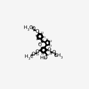 COCOc1ccc(C(=O)C2CCCC2c2cc(OCOC)cc(CO)c2OCOC)cc1